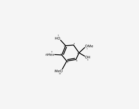 CCCCCCC1=C(O)CC(O)(OC)C=C1OC